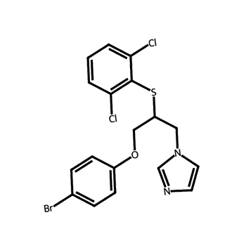 Clc1cccc(Cl)c1SC(COc1ccc(Br)cc1)Cn1ccnc1